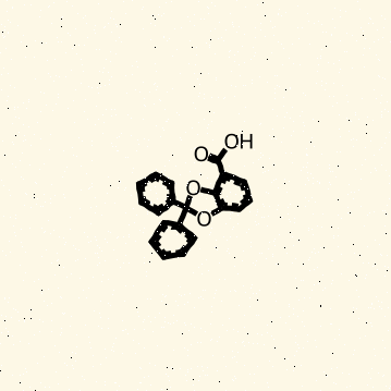 O=C(O)c1cccc2c1OC(c1ccccc1)(c1ccccc1)O2